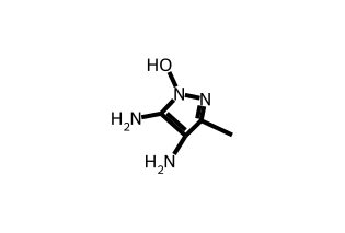 Cc1nn(O)c(N)c1N